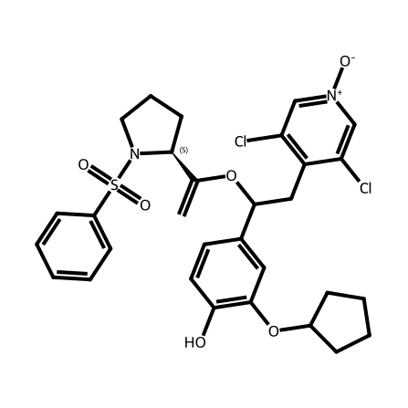 C=C(OC(Cc1c(Cl)c[n+]([O-])cc1Cl)c1ccc(O)c(OC2CCCC2)c1)[C@@H]1CCCN1S(=O)(=O)c1ccccc1